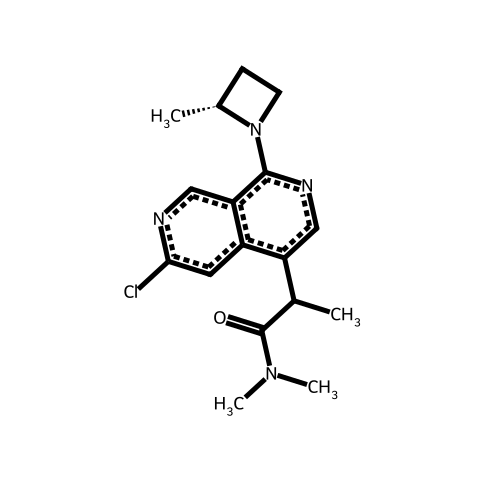 CC(C(=O)N(C)C)c1cnc(N2CC[C@H]2C)c2cnc(Cl)cc12